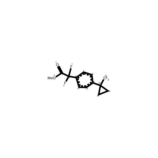 COC(=O)C(F)(F)c1ccc(C2(C(F)(F)F)CC2)cc1